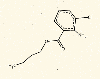 CCCCOC(=O)c1cccc(Cl)c1N